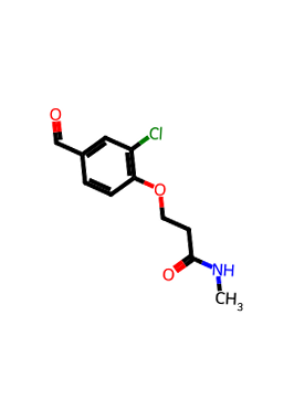 CNC(=O)CCOc1ccc(C=O)cc1Cl